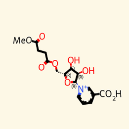 COC(=O)CCC(=O)OC[C@H]1O[C@@H]([n+]2cccc(C(=O)O)c2)[C@H](O)[C@@H]1O